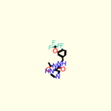 CC(=O)NC1(C(=O)NCc2ccc(F)c(OC(F)(F)F)c2)C=NC=CN1